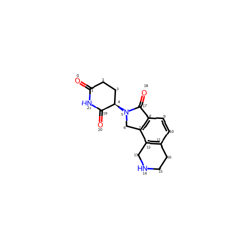 O=C1CC[C@@H](N2Cc3c(ccc4c3CNCC4)C2=O)C(=O)N1